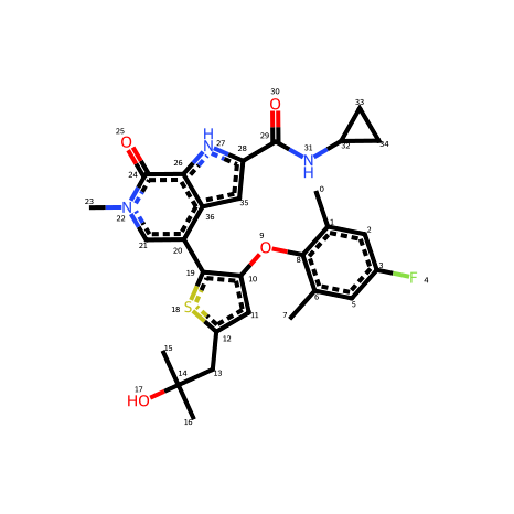 Cc1cc(F)cc(C)c1Oc1cc(CC(C)(C)O)sc1-c1cn(C)c(=O)c2[nH]c(C(=O)NC3CC3)cc12